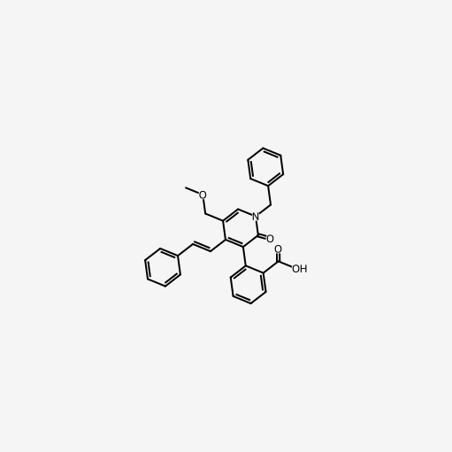 COCc1cn(Cc2ccccc2)c(=O)c(-c2ccccc2C(=O)O)c1C=Cc1ccccc1